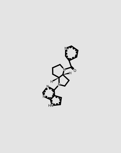 O=C(c1cccnc1)N1CCC[C@@H]2[C@H]1CCN2c1ncnc2[nH]ccc12